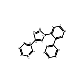 c1ccc(-c2ccccc2-n2cc(-c3cccnc3)nn2)cc1